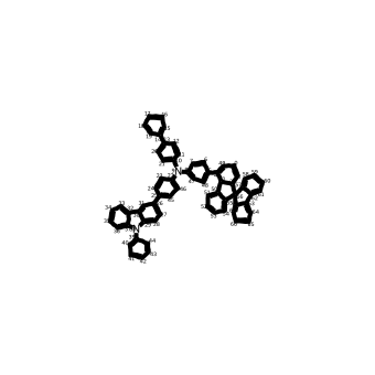 C1=CC2C(C(c3ccc(N(c4ccc(-c5ccccc5)cc4)c4ccc(-c5ccc6c(c5)c5ccccc5n6-c5ccccc5)cc4)cc3)=C1)c1ccccc1C21c2ccccc2-c2ccccc21